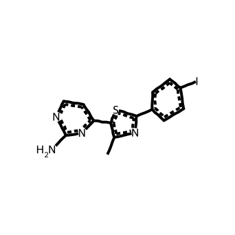 Cc1nc(-c2ccc(I)cc2)sc1-c1ccnc(N)n1